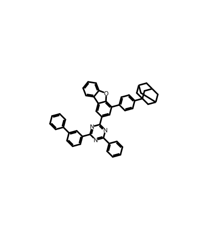 c1ccc(-c2cccc(-c3nc(-c4ccccc4)nc(-c4cc(-c5ccc(C67CC8CC(CC(C8)C6)C7)cc5)c5oc6ccccc6c5c4)n3)c2)cc1